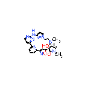 CN(C)CCn1ccc(Nc2nccc(-c3cccc(-c4cc(C5(O)CCN(C)C5=O)on4)n3)n2)n1